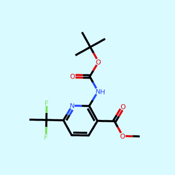 COC(=O)c1ccc(C(C)(F)F)nc1NC(=O)OC(C)(C)C